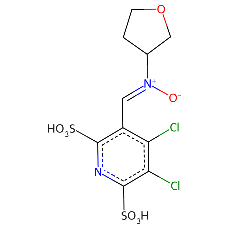 O=S(=O)(O)c1nc(S(=O)(=O)O)c(C=[N+]([O-])C2CCOC2)c(Cl)c1Cl